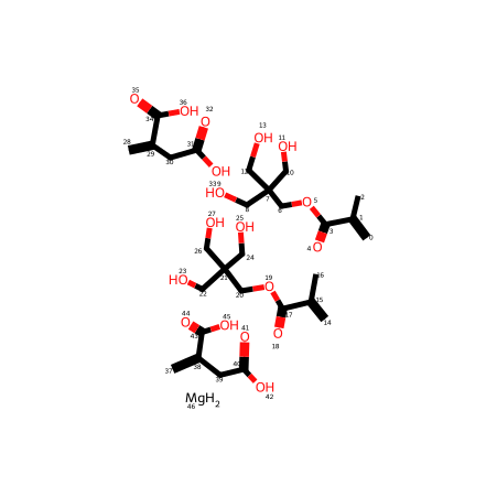 C=C(C)C(=O)OCC(CO)(CO)CO.C=C(C)C(=O)OCC(CO)(CO)CO.C=C(CC(=O)O)C(=O)O.C=C(CC(=O)O)C(=O)O.[MgH2]